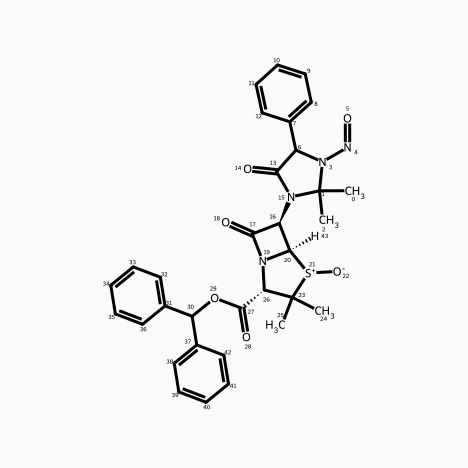 CC1(C)N(N=O)C(c2ccccc2)C(=O)N1[C@@H]1C(=O)N2[C@@H]1[S+]([O-])C(C)(C)[C@@H]2C(=O)OC(c1ccccc1)c1ccccc1